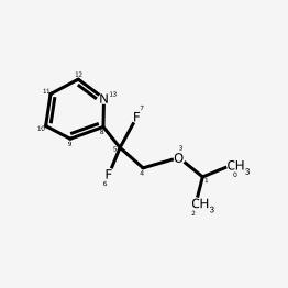 CC(C)OCC(F)(F)c1ccccn1